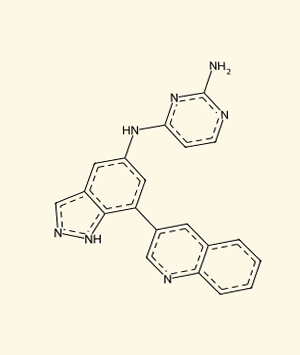 Nc1nccc(Nc2cc(-c3cnc4ccccc4c3)c3[nH]ncc3c2)n1